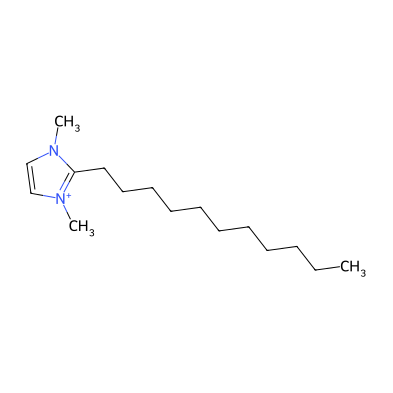 CCCCCCCCCCCc1n(C)cc[n+]1C